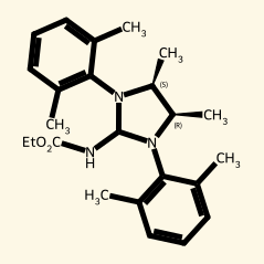 CCOC(=O)NC1N(c2c(C)cccc2C)[C@H](C)[C@H](C)N1c1c(C)cccc1C